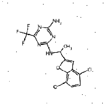 CC(Nc1nc(N)nc(C(F)(F)F)n1)c1cc2c(Cl)ccc(Cl)c2o1